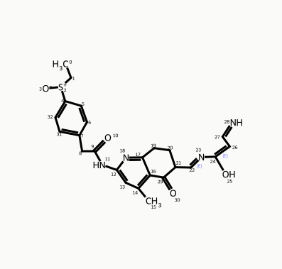 CC[S+]([O-])c1ccc(CC(=O)Nc2cc(C)c3c(n2)CCC(/C=N/C(O)=C\C=N)C3=O)cc1